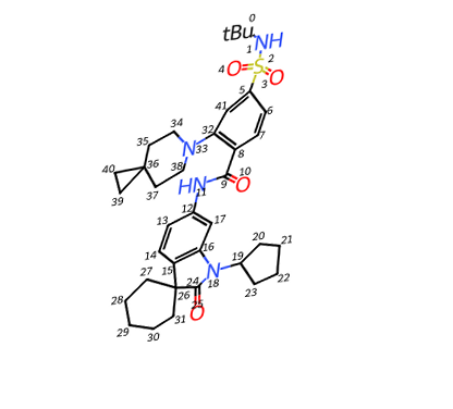 CC(C)(C)NS(=O)(=O)c1ccc(C(=O)Nc2ccc3c(c2)N(C2CCCC2)C(=O)C32CCCCC2)c(N2CCC3(CC2)CC3)c1